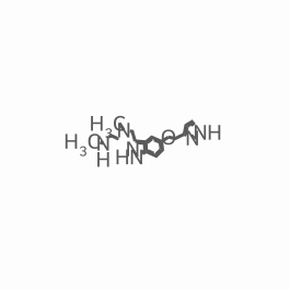 CNCCN(C)Cc1n[nH]c2ccc(OCc3cc[nH]n3)cc12